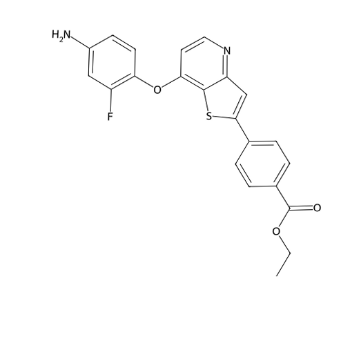 CCOC(=O)c1ccc(-c2cc3nccc(Oc4ccc(N)cc4F)c3s2)cc1